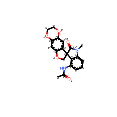 CC(=O)Nc1cccc2c1C1(COc3cc4c(cc31)OCCO4)C(=O)N2C